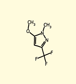 COc1cc(C(F)(F)F)nn1C